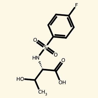 CC(O)[C@H](NS(=O)(=O)c1ccc(F)cc1)C(=O)O